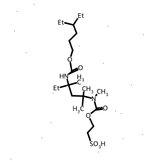 CCC(CC)CCCOC(=O)NC(C)(CC)CC(C)(C)N(C)C(=O)OCCS(=O)(=O)O